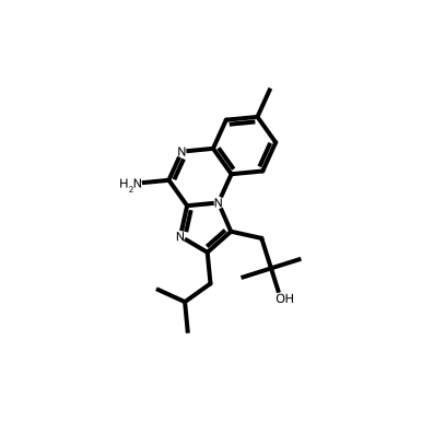 Cc1ccc2c(c1)nc(N)c1nc(CC(C)C)c(CC(C)(C)O)n12